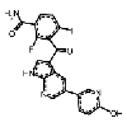 NC(=O)c1ccc(F)c(C(=O)c2c[nH]c3ncc(-c4ccc(O)nc4)cc23)c1F